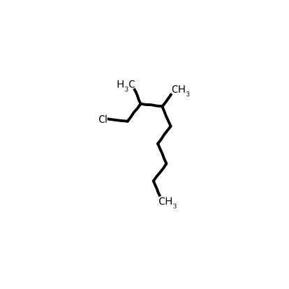 CCCCCC(C)C(C)CCl